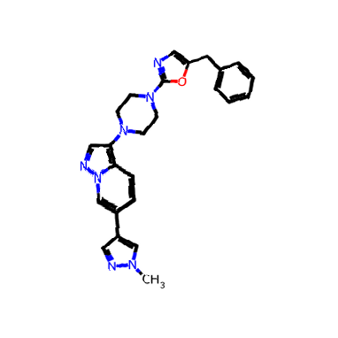 Cn1cc(-c2ccc3c(N4CCN(c5ncc(Cc6ccccc6)o5)CC4)cnn3c2)cn1